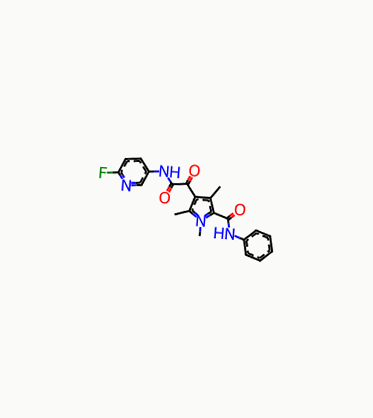 Cc1c(C(=O)C(=O)Nc2ccc(F)nc2)c(C)n(C)c1C(=O)Nc1ccccc1